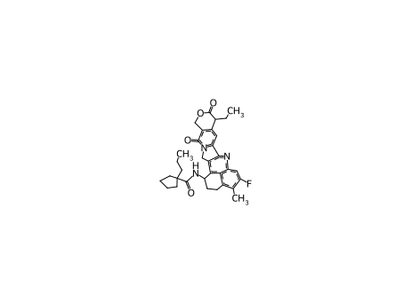 CCCC1(C(=O)NC2CCc3c(C)c(F)cc4nc5c(c2c34)Cn2c-5cc3c(c2=O)COC(=O)C3CC)CCCC1